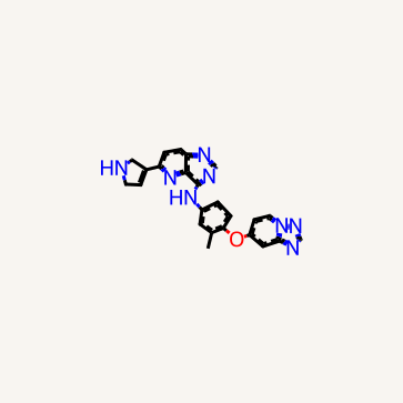 Cc1cc(Nc2ncnc3ccc(C4=CCNC4)nc23)ccc1Oc1ccn2ncnc2c1